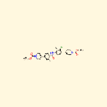 Cc1cc(C2=CCN(C(=O)OC(C)(C)C)CC2)ccc1C(=O)Nc1ccc(C2=CCN(C(=O)OC(C)(C)C)CC2)c(F)c1C